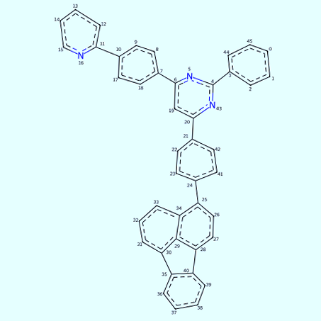 c1ccc(-c2nc(-c3ccc(-c4ccccn4)cc3)cc(-c3ccc(-c4ccc5c6c(cccc46)-c4ccccc4-5)cc3)n2)cc1